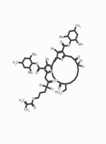 C=C(C)C(=O)OCCCC(CC)(CC)C(=O)Cc1c(C(=O)OC2C(C(C)(C)C)CC(C)CC2C(C)(C)C)c(C(C)C)c2n1COC(=O)C(CC(=O)O)CCCCC(CC)(CC)C(=O)CC1=N/C(=C\2)C(C(C)C)=C1C(=O)OC1C(C(C)(C)C)CC(C)CC1C(C)(C)C